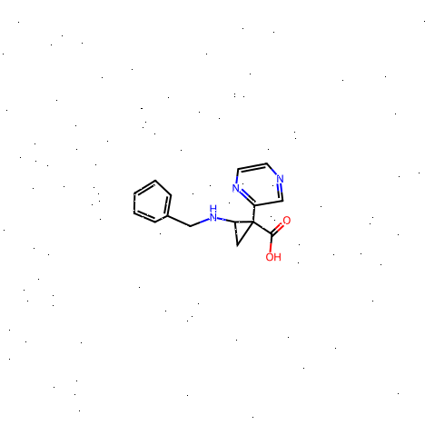 O=C(O)C1(c2cnccn2)CC1NCc1ccccc1